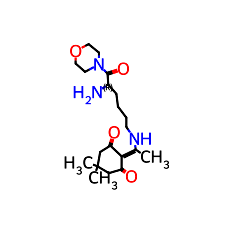 CC(NCCCC[C@@H](N)C(=O)N1CCOCC1)=C1C(=O)CC(C)(C)CC1=O